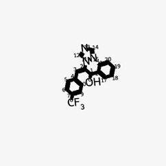 OC(/C(=C\c1ccc(C(F)(F)F)cc1)n1cncn1)c1ccccc1